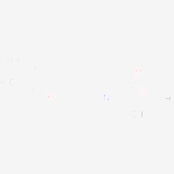 C#Cc1nc(-c2ccc(OCC=C(C)SC)cc2)ccc1C(=O)OCC